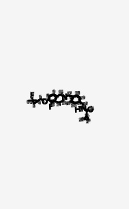 CC1(F)CC1COc1ccc2c(c1F)CCN(Cc1ccc(CNC(=O)C3CC3)cc1)C2